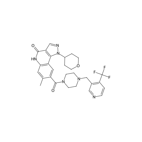 Cc1cc2[nH]c(=O)c3cnn(C4CCOCC4)c3c2cc1C(=O)N1CCN(Cc2cnccc2C(F)(F)F)CC1